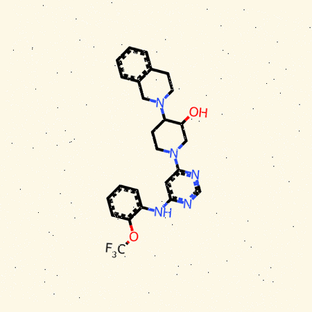 OC1CN(c2cc(Nc3ccccc3OC(F)(F)F)ncn2)CCC1N1CCc2ccccc2C1